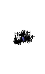 C=C(/N=C(\N=C(/N)Nc1cc(C(=O)O)cc(C(=O)O)c1)N(C)S(=O)(=O)CCCS(=O)(=O)c1ccc(C#N)c(C#N)c1)Nc1cc(C(=O)O)cc(C(=O)O)c1